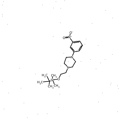 CC(C)(C)[Si](C)(C)OCCN1CCN(c2cccc([N+](=O)[O-])c2)CC1